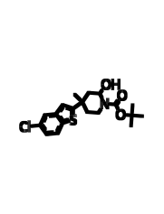 CC(C)(C)OC(=O)N1CCC(C)(c2cc3cc(Cl)ccc3s2)CC1O